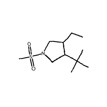 CCC1CN(S(C)(=O)=O)CC1C(C)(C)C